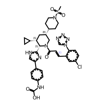 CS(=O)(=O)N1CCC([C@H]2C[C@@H](C3CC3)[C@@H](c3nc(-c4ccc(NC(=O)O)cc4)c[nH]3)N(C(=O)/C=C/c3cc(Cl)ccc3-n3cnnn3)C2)CC1